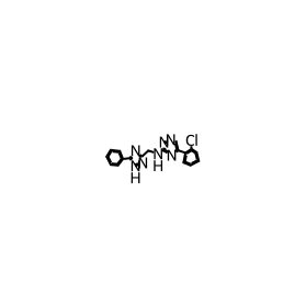 Clc1ccccc1-c1cnnc(NCc2n[nH]c(-c3ccccc3)n2)n1